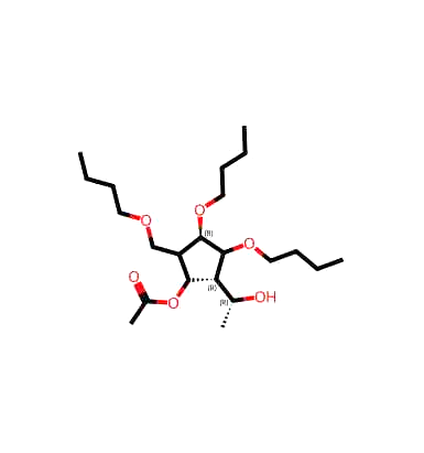 CCCCOCC1C(OC(C)=O)[C@@H]([C@@H](C)O)C(OCCCC)[C@@H]1OCCCC